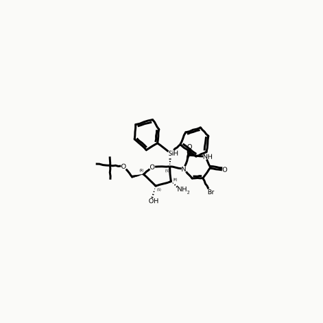 CC(C)(C)OC[C@H]1O[C@](n2cc(Br)c(=O)[nH]c2=O)([SiH](c2ccccc2)c2ccccc2)[C@H](N)[C@@H]1O